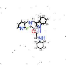 Fc1ncccc1CN(CCOCCNC1CCCCC1)Cc1c[nH]c2ccccc12